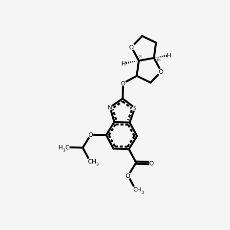 COC(=O)c1cc(OC(C)C)c2nc(OC3CO[C@@H]4CCO[C@H]34)sc2c1